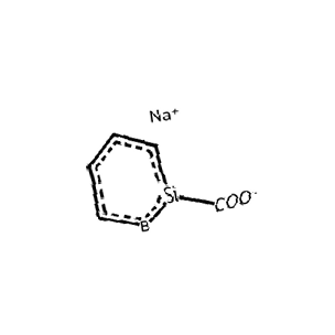 O=C([O-])[si]1bcccc1.[Na+]